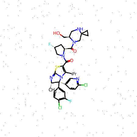 CC(C)C1=C(C(=O)N2C[C@H](F)C[C@H]2C(=O)N2CC3(CC3)NC[C@@H]2CO)SC2=N[C@@H](C)[C@](c3ccc(Cl)nc3)(c3ccc(Cl)c(F)c3)N21